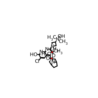 CC(C)(C)OC(=O)N1C2CCC1CN(c1nc(N3CC([N+](C)(C)O)C3)nc3nc(O)c(Cl)cc13)C2